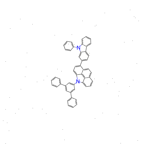 c1ccc(-c2cc(-c3ccccc3)cc(-n3c4cccc5ccc6c(-c7ccc8c9ccccc9n(-c9ccccc9)c8c7)ccc3c6c54)c2)cc1